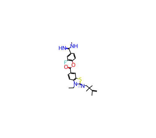 C=C(C)C(C)(C)C/N=c1\sc2cc(C(=O)Oc3ccc(C(=N)NC)cc3F)ccc2n1CC